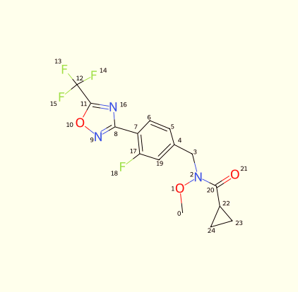 CON(Cc1ccc(-c2noc(C(F)(F)F)n2)c(F)c1)C(=O)C1CC1